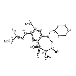 CCCC[C@@H]1CN(CC2CCOCC2)c2cc(SC)c(O/C=C(\F)C(=O)OCC)cc2S(=O)(=O)N1C